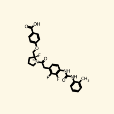 Cc1ccccc1NC(=O)Nc1ccc(CC(=O)N2CCC[C@]2(F)COc2ccc(C(=O)O)cc2)c(F)c1F